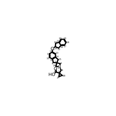 O=C(O)C1(CN2CC3(Cc4ccc(OC5Cc6ccccc6C5)cc4C3)C2)CC1